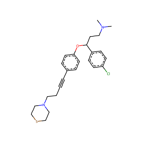 CN(C)CCC(Oc1ccc(C#CCCN2CCSCC2)cc1)c1ccc(Cl)cc1